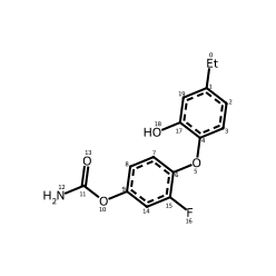 CCc1ccc(Oc2ccc(OC(N)=O)cc2F)c(O)c1